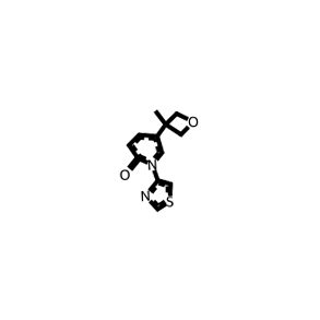 CC1(c2ccc(=O)n(-c3cscn3)c2)COC1